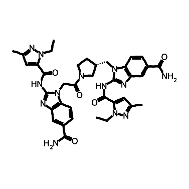 CCn1nc(C)cc1C(=O)Nc1nc2cc(C(N)=O)ccc2n1CC(=O)N1CC[C@H](Cn2c(NC(=O)c3cc(C)nn3CC)nc3cc(C(N)=O)ccc32)C1